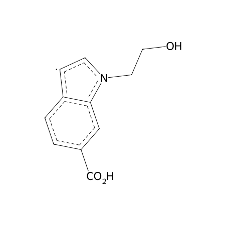 O=C(O)c1ccc2[c]cn(CCO)c2c1